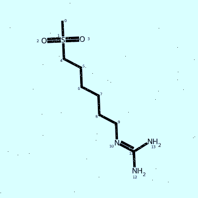 CS(=O)(=O)CCCCCCN=C(N)N